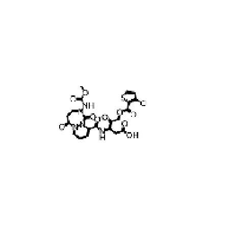 COC(=O)NN1CCC(=O)N2CCCC(C(=O)NC(CC(=O)O)C(=O)COC(=O)c3sccc3Cl)N2C1=O